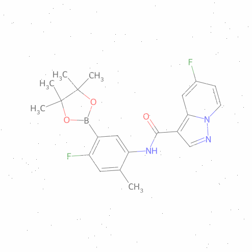 Cc1cc(F)c(B2OC(C)(C)C(C)(C)O2)cc1NC(=O)c1cnn2ccc(F)cc12